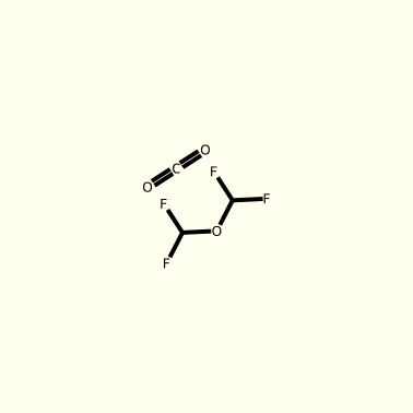 FC(F)OC(F)F.O=C=O